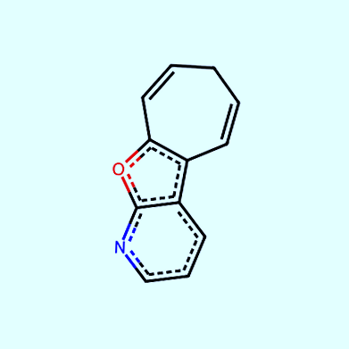 C1=Cc2oc3ncccc3c2C=CC1